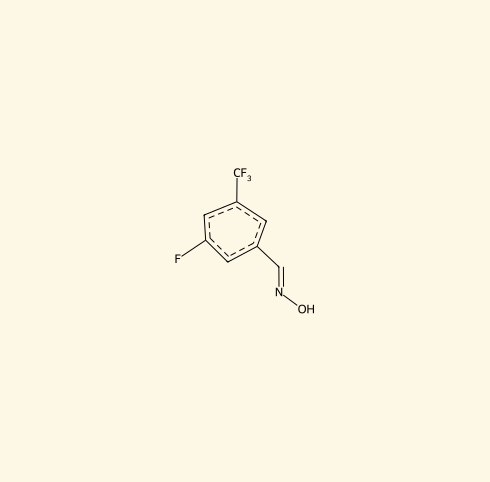 O/N=C/c1cc(F)cc(C(F)(F)F)c1